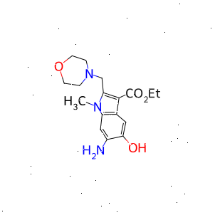 CCOC(=O)c1c(CN2CCOCC2)n(C)c2cc(N)c(O)cc12